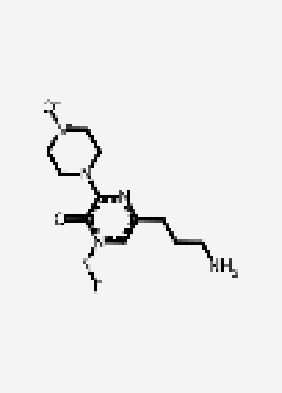 NCCCc1cn(SF)c(=O)c(N2CC[S+]([O-])CC2)n1